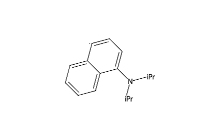 CC(C)N(c1cc[c]c2ccccc12)C(C)C